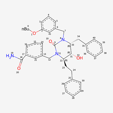 CCCCOc1cccc(CN2C(=O)N(Cc3cccc(C(N)=O)c3)[C@H](CCc3ccccc3)[C@@H](O)[C@H]2Cc2ccccc2)c1